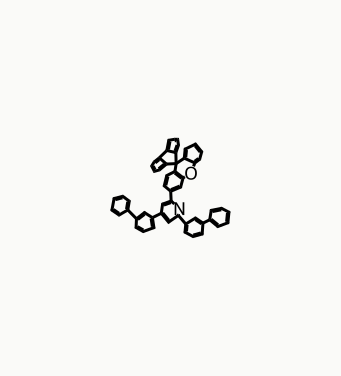 c1ccc(-c2cccc(-c3cc(-c4cccc(-c5ccccc5)c4)nc(-c4ccc5c(c4)Oc4ccccc4C54c5ccccc5-c5ccccc54)c3)c2)cc1